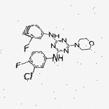 Fc1c#ccc(Nc2nc(Nc3ccc(F)c(Cl)c3)nc(N3CCOCC3)n2)c1